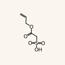 C=CCOC(=O)CS(=O)(=O)O